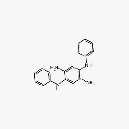 Nc1cc(Nc2ccccc2)c(N)cc1Nc1ccccc1